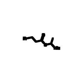 CCCCC(C)OC(=O)CCC(C)C